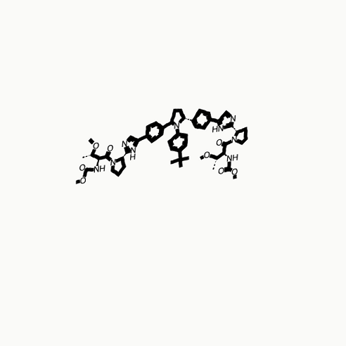 COC(=O)N[C@H](C(=O)N1CCC[C@H]1c1ncc(-c2ccc(C3CC[C@H](c4ccc(-c5cnc([C@@H]6CCCN6C(=O)[C@H](NC(=O)OC)[C@H](C)OC)[nH]5)cc4)N3c3ccc(C(C)(C)C)cc3)cc2)[nH]1)[C@H](C)OC